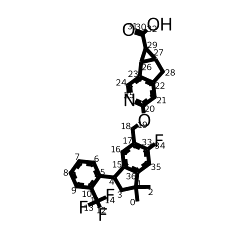 CC1(C)CC(c2ccccc2C(F)(F)F)c2cc(COc3cc4c(cn3)C3C(C4)C3C(=O)O)c(F)cc21